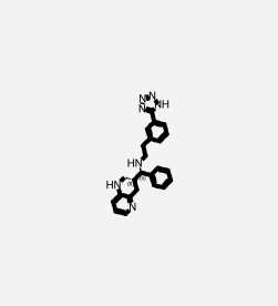 c1ccc([C@@H](NCCc2cccc(-c3nnn[nH]3)c2)[C@H]2CNc3cccnc3C2)cc1